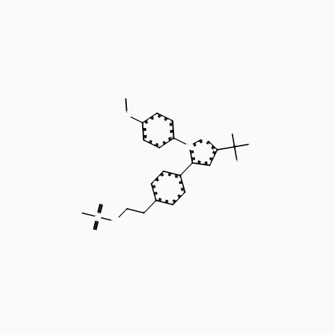 COc1ccc(-n2nc(C(F)(F)F)cc2-c2ccc(CCOS(C)(=O)=O)cc2)cc1